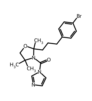 CC1(C)COC(C)(CCCc2ccc(Br)cc2)N1C(=O)n1ccnc1